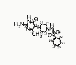 Cc1nc(N)[nH]c(=O)c1N1CCN(NS(=O)(=O)c2ccccc2)CC1